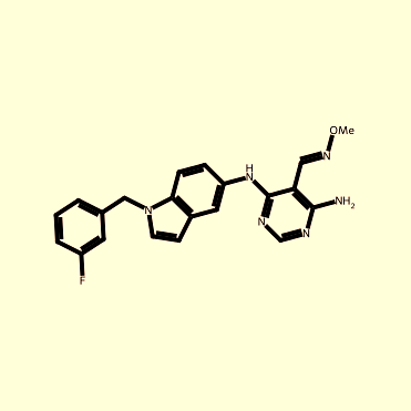 CON=Cc1c(N)ncnc1Nc1ccc2c(ccn2Cc2cccc(F)c2)c1